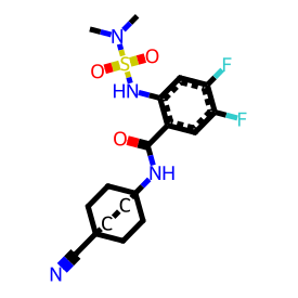 CN(C)S(=O)(=O)Nc1cc(F)c(F)cc1C(=O)NC12CCC(C#N)(CC1)CC2